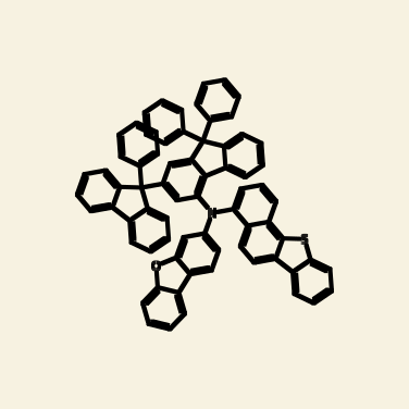 c1ccc(C2(c3cc(N(c4ccc5c(c4)oc4ccccc45)c4cccc5c4ccc4c6ccccc6sc54)c4c(c3)C(c3ccccc3)(c3ccccc3)c3ccccc3-4)c3ccccc3-c3ccccc32)cc1